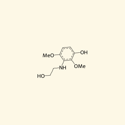 COc1ccc(O)c(OC)c1NCCO